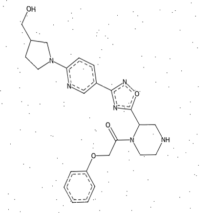 O=C(COc1ccccc1)N1CCNCC1c1nc(-c2ccc(N3CCC(CO)C3)nc2)no1